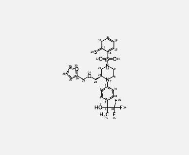 CC(O)(c1ccc(N2CCN(S(=O)(=O)C3=CC=CCC3=S)C[C@@H]2COCc2ccco2)cc1)C(F)(F)F